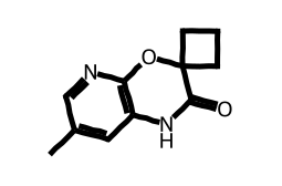 Cc1cnc2c(c1)NC(=O)C1(CCC1)O2